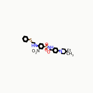 CCC1(C)CCN(c2ccc(C(=O)NS(=O)(=O)c3ccc(NCCSc4ccccc4)c([N+](=O)[O-])c3)cc2)CC1